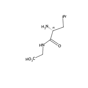 CC(C)C[C@@H](N)C(=O)NCC(=O)O